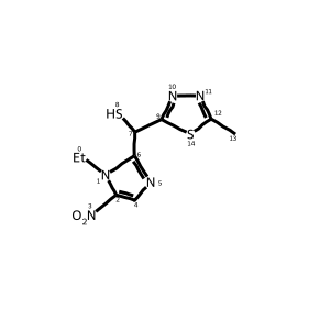 CCn1c([N+](=O)[O-])cnc1C(S)c1nnc(C)s1